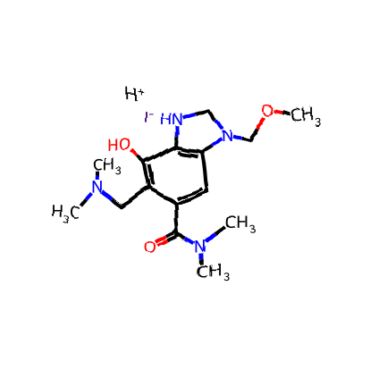 COCN1CNc2c1cc(C(=O)N(C)C)c(CN(C)C)c2O.[H+].[I-]